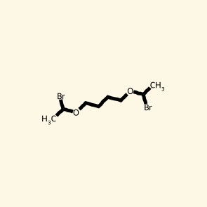 CC(Br)OCCCCOC(C)Br